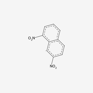 O=[N+]([O-])c1[c]c2c([N+](=O)[O-])cccc2cc1